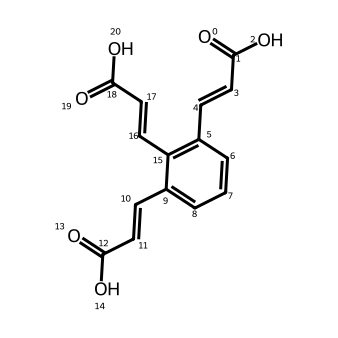 O=C(O)/C=C/c1cccc(/C=C/C(=O)O)c1/C=C/C(=O)O